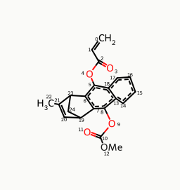 C=CC(=O)Oc1c2c(c(OC(=O)OC)c3ccccc13)C1C=C(C)C2C1